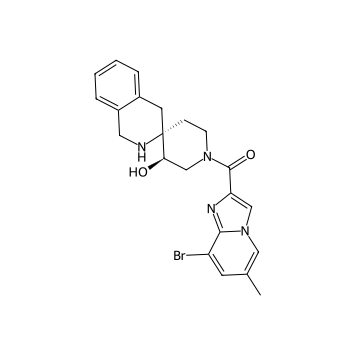 Cc1cc(Br)c2nc(C(=O)N3CC[C@]4(Cc5ccccc5CN4)[C@H](O)C3)cn2c1